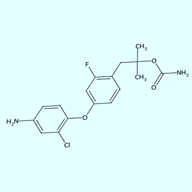 CC(C)(Cc1ccc(Oc2ccc(N)cc2Cl)cc1F)OC(N)=O